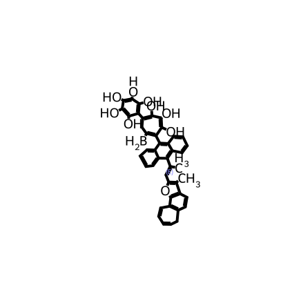 BC1=C(c2c3ccccc3c(/C(C)=C/c3oc4c5c(ccc4c3C)CC=CC=C5)c3ccccc23)C(O)=C(O)C(O)=C(c2c(O)c(O)c(O)c(O)c2O)C1